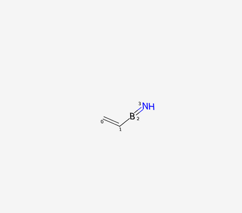 C=CB=N